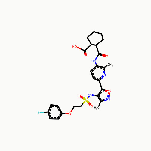 Cc1nc(-c2onc(C)c2NS(=O)(=O)CCOc2ccc(F)cc2)ccc1NC(=O)C1CCCCC1C(=O)O